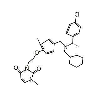 Cc1cc(CN(CC2CCCCC2)[C@@H](C)c2ccc(Cl)cc2)ccc1OCCn1c(=O)ccn(C)c1=O